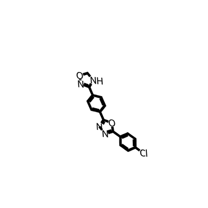 Clc1ccc(-c2nnc(-c3ccc(C4=NOCN4)cc3)o2)cc1